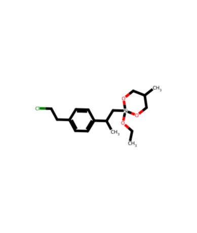 CCO[Si]1(CC(C)c2ccc(CCCl)cc2)OCC(C)CO1